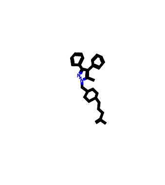 C=C(C)CCCC1CCC(Cn2nc(-c3ccccc3)c(-c3ccccc3)c2C)CC1